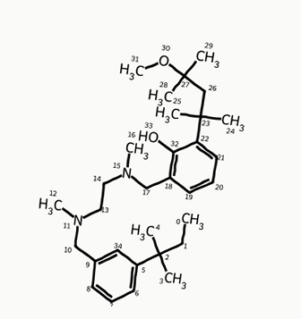 CCC(C)(C)c1cccc(CN(C)CCN(C)Cc2cccc(C(C)(C)CC(C)(C)OC)c2O)c1